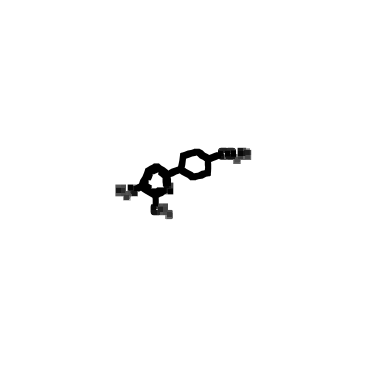 CCOC(=O)C1CCC(c2ccc(N)c(C)n2)CC1